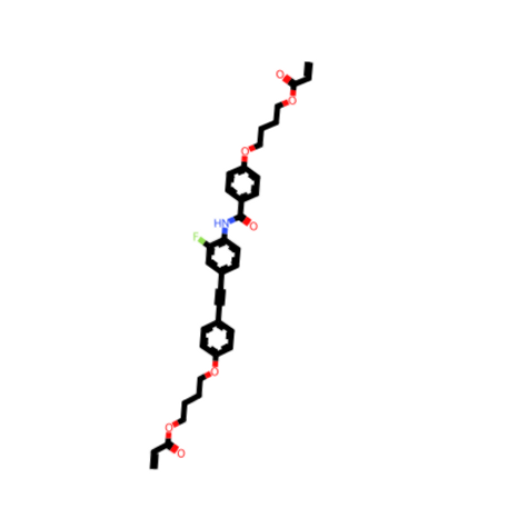 C=CC(=O)OCCCCOc1ccc(C#Cc2ccc(NC(=O)c3ccc(OCCCCOC(=O)C=C)cc3)c(F)c2)cc1